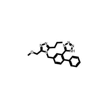 CCCc1nnc(COC)n1Cc1ccc(-c2ccccc2)c(-c2nnn[nH]2)c1